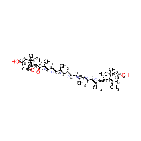 CC1=C(C#C/C(C)=C/C=C/C(C)=C/C=C/C=C(C)/C=C/C=C(\C)C(=O)C[C@@]23O[C@]2(C)C[C@@H](O)CC3(C)C)C(C)(C)C[C@H](O)C1